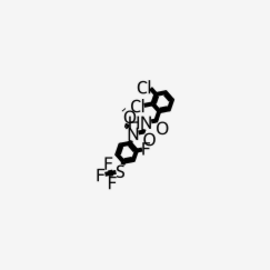 COCN(C(=O)NC(=O)c1cccc(Cl)c1Cl)c1ccc(SC(F)(F)F)cc1F